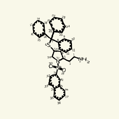 NCCC1CC(SC(c2ccccc2)(c2ccccc2)c2ccccc2)CN1S(=O)(=O)c1ccc2ccccc2c1